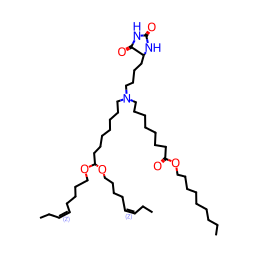 CC/C=C\CCCCOC(CCCCCCCN(CCCCCCCC(=O)OCCCCCCCCC)CCCCC1NC(=O)NC1=O)OCCCC/C=C\CC